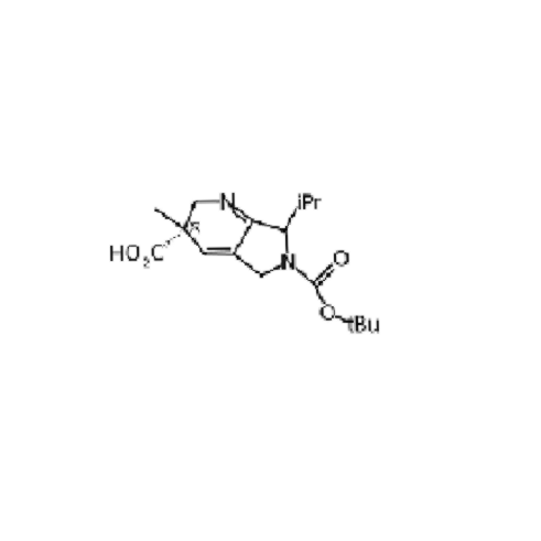 CC(C)C1C2=NC[C@@](C)(C(=O)O)C=C2CN1C(=O)OC(C)(C)C